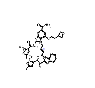 CCn1nc(C)cc1C(=O)Nc1nc2cccnc2n1C/C=C/Cn1c(NC(=O)c2cc(C)nn2CC)nc2cc(C(N)=O)cc(OCCC3COC3)c21